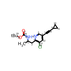 CC(Cc1ncc(C#CC2CC2)cc1Cl)NC(=O)OC(C)(C)C